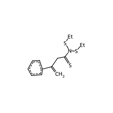 C=C(CC(=S)N(SCC)SCC)c1ccccc1